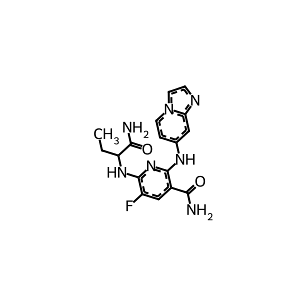 CCC(Nc1nc(Nc2ccn3ccnc3c2)c(C(N)=O)cc1F)C(N)=O